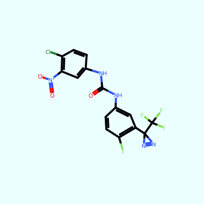 O=C(Nc1ccc(Cl)c([N+](=O)[O-])c1)Nc1ccc(F)c(C2(C(F)(F)F)N=N2)c1